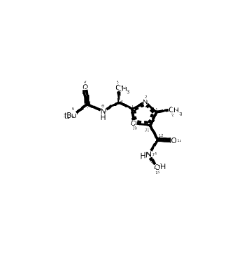 Cc1nc([C@H](C)NC(=O)C(C)(C)C)oc1C(=O)NO